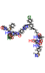 Cc1ncsc1-c1ccc([C@H](C)NC(=O)[C@@H]2C[C@@H](O)CN2C(=O)[C@@H](NC(=O)CCCCC#CC2(C)CCC(c3ccc(Cl)cc3)=C(CN3CCN(c4ccc(C(=O)NSc5ccc(N[C@H](CCN6CCOCC6)CSc6ccccc6)c(S(=O)(=O)C(F)(F)F)c5)cc4)CC3)C2)C(C)(C)C)cc1